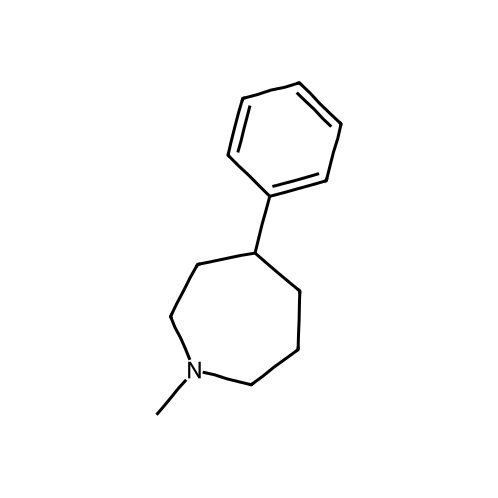 CN1CCCC(c2ccccc2)CC1